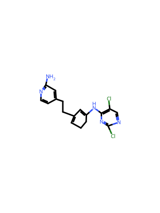 Nc1cc(CCC2=CCCC(Nc3nc(Cl)ncc3Cl)=C2)ccn1